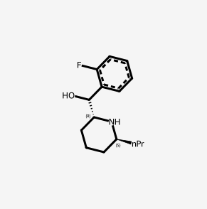 CCC[C@H]1CCC[C@H](C(O)c2ccccc2F)N1